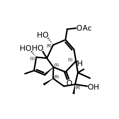 CC(=O)OCC1=C[C@@H]2C(=O)[C@]3(C=C(C)[C@H](O)C3(O)[C@@H]1O)[C@H](C)C[C@@](C)(O)C2(C)C